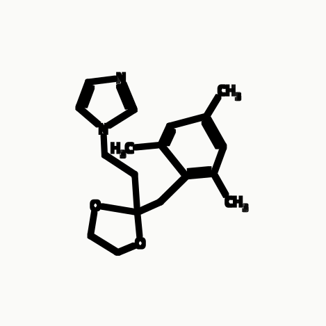 Cc1cc(C)c(CC2(CCn3ccnc3)OCCO2)c(C)c1